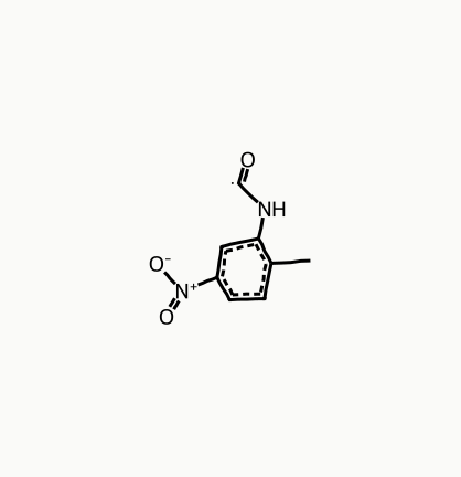 Cc1ccc([N+](=O)[O-])cc1N[C]=O